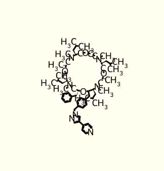 CC(C)C[C@H]1CO[C@H](C)CN(C)[C@@H](CC(C)C)C(Cc2ccc(Cn3cc(-c4ccncc4)cn3)cc2)O[C@H](Cc2ccccc2)CN(C)[C@@H](CC(C)C)CO[C@H](C)CN(C)[C@@H](CC(C)C)COCCN1C